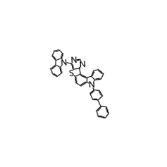 c1ccc(-c2ccc(-n3c4ccccc4c4c5c(ccc43)sc3c(-n4c6ccccc6c6ccccc64)ncnc35)cc2)cc1